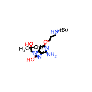 CC(C)(O)Cn1c(O)nc2c(N)nc(OCCCNC(C)(C)C)cc21